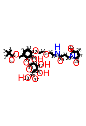 CC(C)(C)C(=O)OCc1ccc(OCCOCCNC(=O)CCN2C(=O)C=CC2=O)cc1O[C@@H]1O[C@H](C(=O)O)[C@@H](O)[C@H](O)[C@H]1O